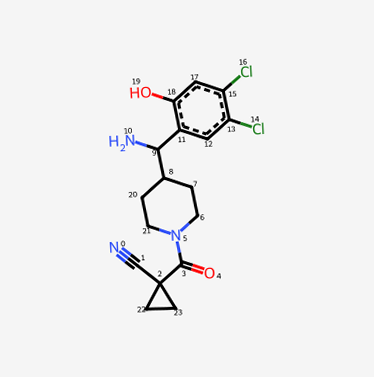 N#CC1(C(=O)N2CCC(C(N)c3cc(Cl)c(Cl)cc3O)CC2)CC1